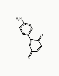 Nc1ccc(C2=CC(=O)C=CC2=O)cc1